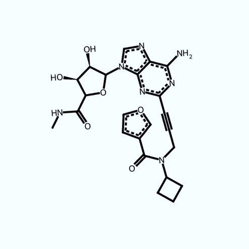 CNC(=O)C1OC(n2cnc3c(N)nc(C#CCN(C(=O)c4ccoc4)C4CCC4)nc32)[C@H](O)[C@@H]1O